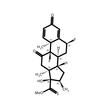 COC(=S)[C@@]1(O)[C@H](C)C[C@H]2[C@@H]3C[C@H](F)C4=CC(=O)C=C[C@]4(C)[C@@]3(F)C(=O)C[C@@]21C